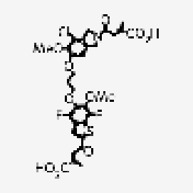 COc1c(OCCCOc2c(OC)c(F)c3sc(C(=O)C[C@H](C)C(=O)O)cc3c2F)cc2c(c1Cl)CN(C(=O)C[C@H](C)C(=O)O)C2